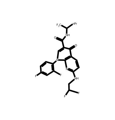 CCCC(NC(=O)c1cn(-c2ccc(F)cc2F)c2nc(NCC(F)F)ccc2c1=O)C(F)(F)F